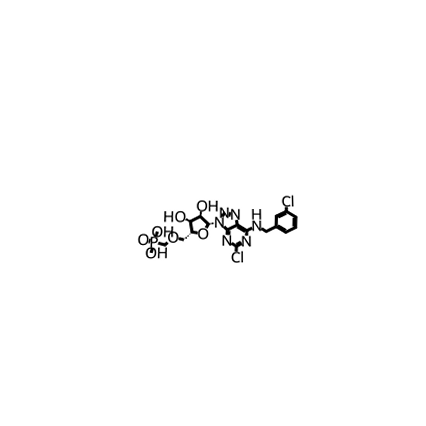 O=P(O)(O)COC[C@H]1O[C@@H](n2nnc3c(NCc4cccc(Cl)c4)nc(Cl)nc32)[C@H](O)[C@@H]1O